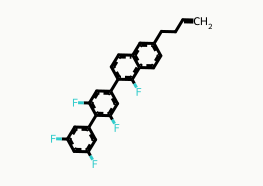 C=CCCc1ccc2c(F)c(-c3cc(F)c(-c4cc(F)cc(F)c4)c(F)c3)ccc2c1